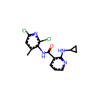 Cc1cc(Cl)nc(Cl)c1NC(=O)c1cccnc1NC1CC1